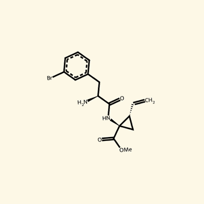 C=C[C@@H]1C[C@]1(NC(=O)[C@@H](N)Cc1cccc(Br)c1)C(=O)OC